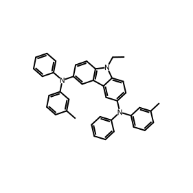 CCn1c2ccc(N(c3ccccc3)c3cccc(C)c3)cc2c2cc(N(c3ccccc3)c3cccc(C)c3)ccc21